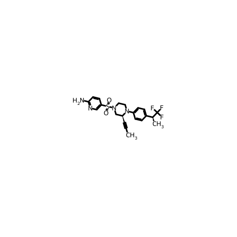 CC#C[C@H]1CN(S(=O)(=O)c2ccc(N)nc2)CCN1c1ccc([C@H](C)C(F)(F)F)cc1